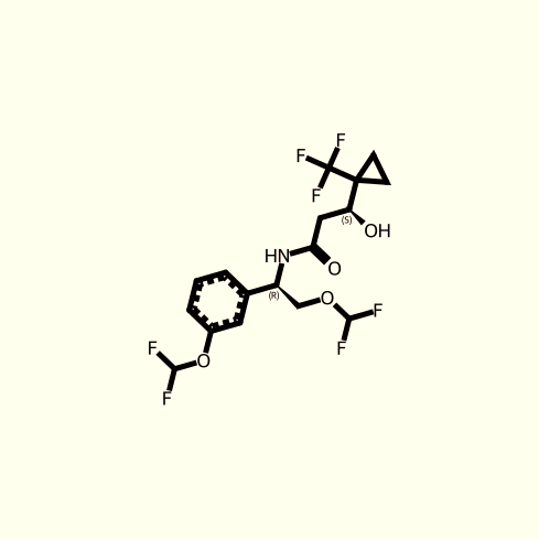 O=C(C[C@H](O)C1(C(F)(F)F)CC1)N[C@@H](COC(F)F)c1cccc(OC(F)F)c1